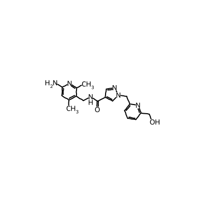 Cc1cc(N)nc(C)c1CNC(=O)c1cnn(Cc2cccc(CO)n2)c1